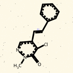 Cn1ncc(/C=C/c2ccccc2)c(Cl)c1=O